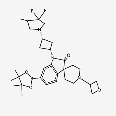 CC1CN([C@H]2C[C@@H](N3C(=O)C4(CCN(C5COC5)CC4)c4ccc(B5OC(C)(C)C(C)(C)O5)cc43)C2)CC1(F)F